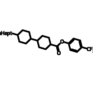 CCCCCCCC1CCC(C2CCC(C(=O)Oc3ccc(C(F)(F)F)cc3)CC2)CC1